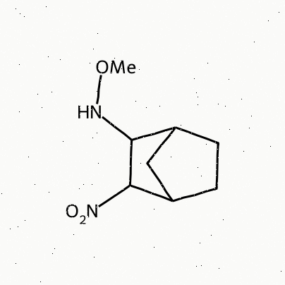 CONC1C2CCC(C2)C1[N+](=O)[O-]